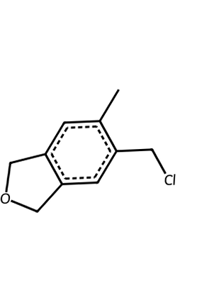 Cc1cc2c(cc1CCl)COC2